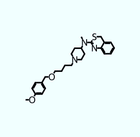 COc1ccc(COCCCCN2CCC(N(C)C3=Nc4ccccc4CS3)CC2)cc1